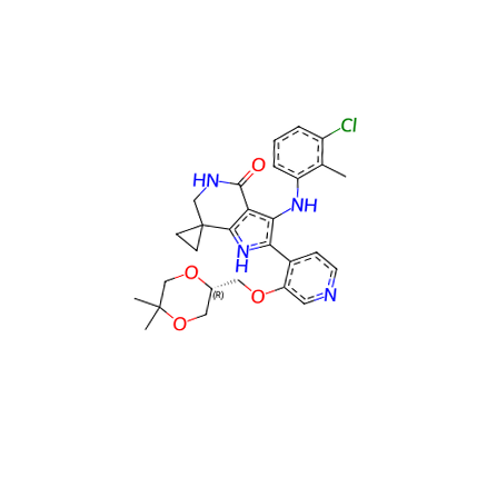 Cc1c(Cl)cccc1Nc1c(-c2ccncc2OC[C@@H]2COC(C)(C)CO2)[nH]c2c1C(=O)NCC21CC1